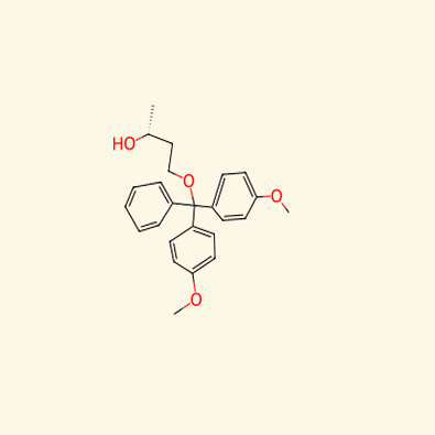 COc1ccc(C(OCC[C@@H](C)O)(c2ccccc2)c2ccc(OC)cc2)cc1